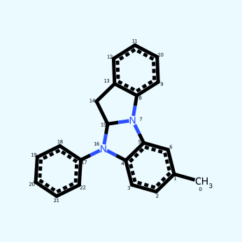 Cc1ccc2c(c1)N1c3ccccc3CC1N2c1ccccc1